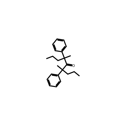 CCCC(C)(C(=O)C(C)(CCC)c1ccccc1)c1ccccc1